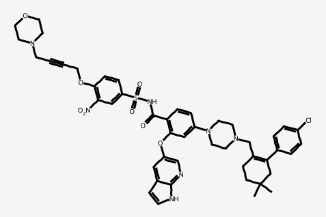 CC1(C)CCC(CN2CCN(c3ccc(C(=O)NS(=O)(=O)c4ccc(OCC#CCN5CCOCC5)c([N+](=O)[O-])c4)c(Oc4cnc5[nH]ccc5c4)c3)CC2)=C(c2ccc(Cl)cc2)C1